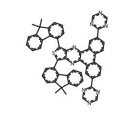 CC1(C)c2ccccc2-c2c(-c3sc(-c4cccc5c4-c4ccccc4C5(C)C)c4nc5c6cc(-c7ncncn7)ccc6c6ccc(-c7ncncn7)cc6c5nc34)cccc21